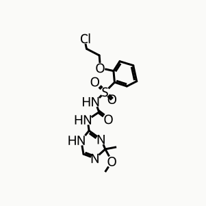 COC1(C)N=CNC(NC(=O)NS(=O)(=O)c2ccccc2OCCCl)=N1